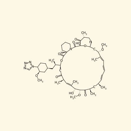 CO[C@H]1C[C@@H]2CC[C@@H](C)C(=O)C(O)(O2)C(=O)N2CCCC[C@H]2C(=O)O[C@H]([C@H](C)C[C@@H]2CCC(n3cnnn3)[C@H](OC)C2)CC(=O)[C@H](C)/C=C(\C)[C@@H](O)[C@@H](OC)C(=O)[C@H](C)C[C@H](C)/C=C/C=C/C=C/1C